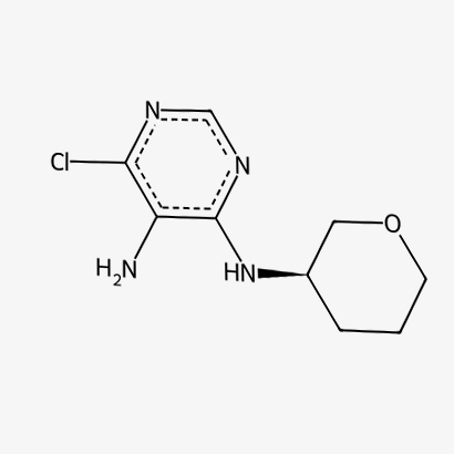 Nc1c(Cl)ncnc1N[C@@H]1CCCOC1